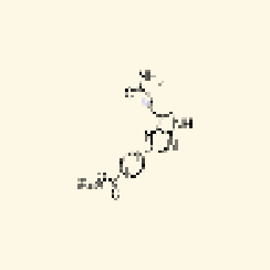 CC[C@H](C)OC(=O)N1CCN(c2cnc3[nH]cc(/C=C/C(N)=O)c3n2)CC1